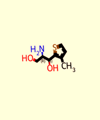 Cc1ccsc1[C@@H](O)[C@H](N)CO